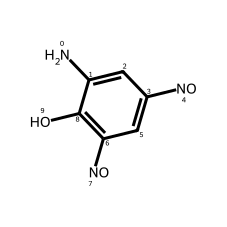 Nc1cc(N=O)cc(N=O)c1O